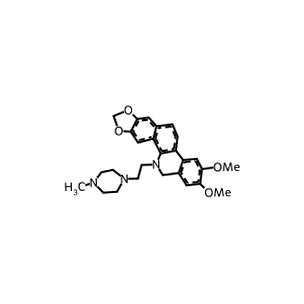 COc1cc2c(cc1OC)-c1ccc3cc4c(cc3c1N(CCN1CCN(C)CC1)C2)OCO4